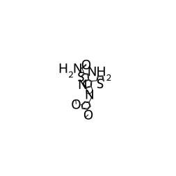 COc1cc(CN2Cc3nc4sc(C(N)=O)c(N)c4c(-c4cccs4)c3C2)cc(OC)c1